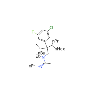 CCCCCCC(CCC)C(CN(CC)/C(C)=N\CCC)(c1cc(F)cc(Cl)c1)[C@@H](C)CCCC